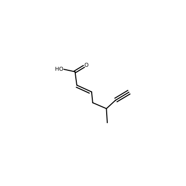 C#CC(C)CC=CC(=O)O